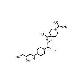 CNC1(CCC(C)N2CCC(NC[C@H](O)CO)CC2)CCN(C(C)C)CC1